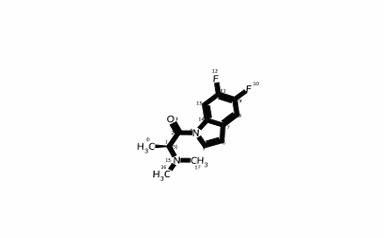 C[C@@H](C(=O)n1ccc2cc(F)c(F)cc21)N(C)C